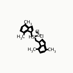 Cc1ccc(C)c2c1C=CC2C[SiH](CC1C=Cc2c(C)ccc(C)c21)[Zr]([Cl])[Cl]